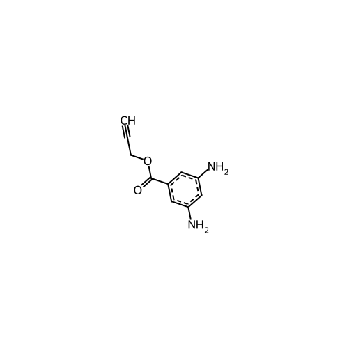 C#CCOC(=O)c1cc(N)cc(N)c1